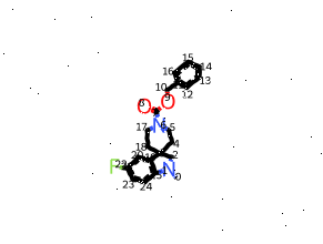 CN1CC2(CCN(C(=O)OCc3ccccc3)CC2)c2cc(F)ccc21